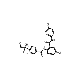 CC(C)([C]=O)c1ccc(C(=O)Nc2ccc(Cl)cc2C(=O)Nc2ccc(Cl)cn2)cc1